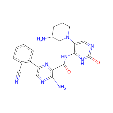 N#Cc1ccccc1-c1cnc(N)c(C(=O)Nc2[nH]c(=O)ncc2N2CCCC(N)C2)n1